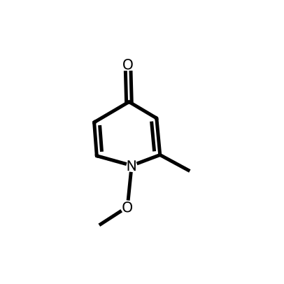 COn1ccc(=O)cc1C